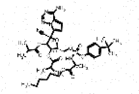 CCCCCCOC(=O)[C@H](C)NP(=O)(OC[C@H]1O[C@@](C#N)(c2ccc3c(N)ncnn23)[C@H](OC(=O)C(C)C)[C@@H]1OC(=O)C(C)C)Oc1ccc(C(C)(C)C)cc1